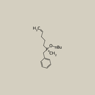 C=CCCCP(=C)(Cc1ccccc1)OCCCC